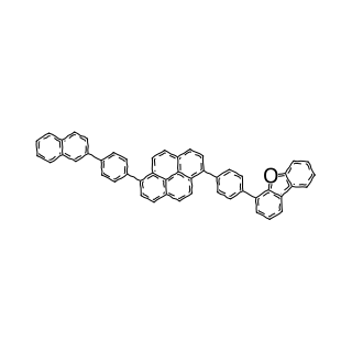 c1ccc2cc(-c3ccc(-c4ccc5ccc6c(-c7ccc(-c8cccc9c8oc8ccccc89)cc7)ccc7ccc4c5c76)cc3)ccc2c1